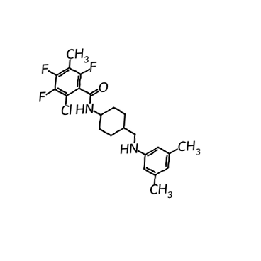 Cc1cc(C)cc(NCC2CCC(NC(=O)c3c(F)c(C)c(F)c(F)c3Cl)CC2)c1